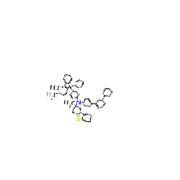 CC/C=C\C1=C(C)c2ccccc2C1(c1ccccc1)c1ccc(N(c2ccc(-c3cccc(-c4ccccc4)c3)cc2)C2(C)C=Cc3sc4ccccc4c3C2)cc1